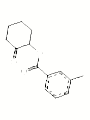 Cc1cccc(C(=O)OC2CCCCC2=O)c1